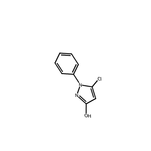 Oc1cc(Cl)n(-c2ccccc2)n1